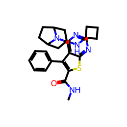 CNC(=O)c1sc2ncnc(N3C4CCC3CC(NC3CCC3)C4)c2c1-c1ccccc1